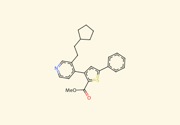 COC(=O)c1sc(-c2ccccc2)cc1-c1ccncc1CCC1CCCC1